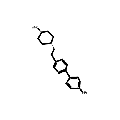 CCCc1ccc(-c2ccc(CC[C@H]3CC[C@H](CCC)CC3)cc2)cc1